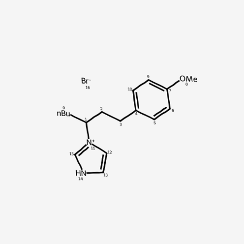 CCCCC(CCc1ccc(OC)cc1)[n+]1cc[nH]c1.[Br-]